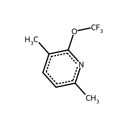 Cc1ccc(C)c(OC(F)(F)F)n1